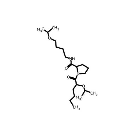 CCCCC(OC(C)C)C(=O)N1CCCC1C(=O)NCCCCOC(C)C